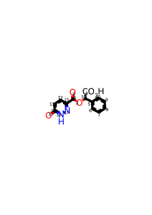 O=C(OC(C(=O)O)c1ccccc1)c1ccc(=O)[nH]n1